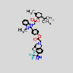 C#CCN(CC(=O)Oc1ccc(-c2n(CC(=O)O[C@@H]3C[C@H](C)CC[C@H]3C(C)C)c3ccccc3[n+]2C)cc1)Cc1ccc(C2(C(F)(F)F)N=N2)cc1